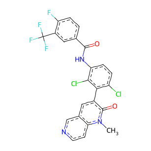 Cn1c(=O)c(-c2c(Cl)ccc(NC(=O)c3ccc(F)c(C(F)(F)F)c3)c2Cl)cc2cnccc21